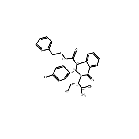 C[C@H](O)[C@H](CO)N1C(=O)c2ccccc2[C@H](C(=O)NOCc2ccccn2)[C@H]1c1ccc(Cl)cc1